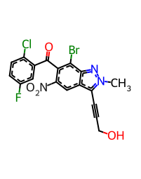 Cn1nc2c(Br)c(C(=O)c3cc(F)ccc3Cl)c([N+](=O)[O-])cc2c1C#CCO